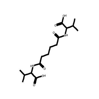 CC(C)C(NC(=O)CCCCC(=O)NC(C(=O)O)C(C)C)C(=O)O